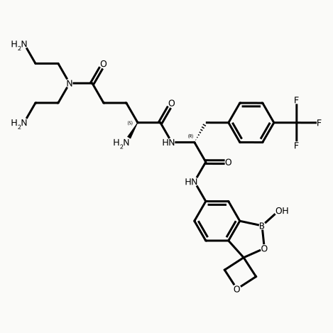 NCCN(CCN)C(=O)CC[C@H](N)C(=O)N[C@H](Cc1ccc(C(F)(F)F)cc1)C(=O)Nc1ccc2c(c1)B(O)OC21COC1